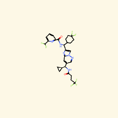 O=C(CCC(F)(F)F)NC(c1cnn2cc([C@@H](NC(=O)c3cccc(C(F)F)n3)C3CCC(F)(F)CC3)nc2c1)C1CC1